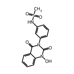 CS(=O)(=O)Nc1cccc(-n2c(=O)c3ccccc3n(O)c2=O)c1